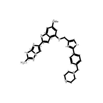 COc1cc(OCc2csc(-c3ccc(CN4CCOCC4)cc3)n2)c2cc(-c3cn4nc(C)sc4n3)oc2c1